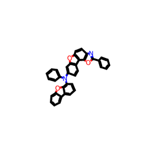 c1ccc(-c2nc3ccc4oc5cc(N(c6ccccc6)c6cccc7c6oc6ccccc67)ccc5c4c3o2)cc1